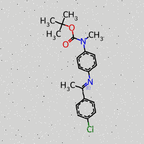 C/C(=N\c1ccc(N(C)C(=O)OC(C)(C)C)cc1)c1ccc(Cl)cc1